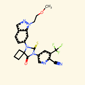 COCCn1ncc2ccc(N3C(=S)N(c4cnc(C#N)c(C(F)(F)F)c4)C(=O)C34CCC4)cc21